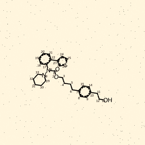 O=C(OCCCCc1ccc(CCO)cc1)N(c1ccccc1-c1ccsc1)N1CC[CH]CC1